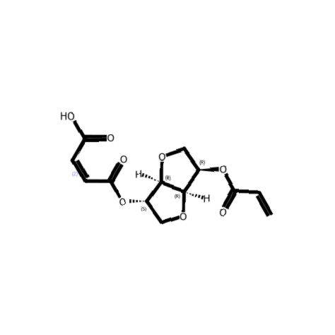 C=CC(=O)O[C@@H]1CO[C@H]2[C@@H]1OC[C@@H]2OC(=O)/C=C\C(=O)O